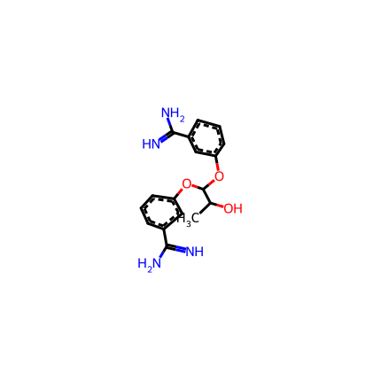 CC(O)C(Oc1cccc(C(=N)N)c1)Oc1cccc(C(=N)N)c1